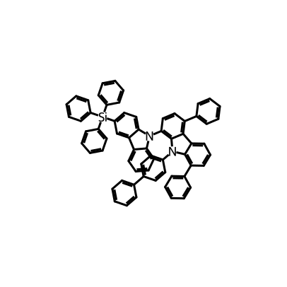 c1ccc(-c2ccc(-n3c4c(-c5ccccc5)cccc4c4c(-c5ccccc5)ccc(-n5c6ccccc6c6cc([Si](c7ccccc7)(c7ccccc7)c7ccccc7)ccc65)c43)cc2)cc1